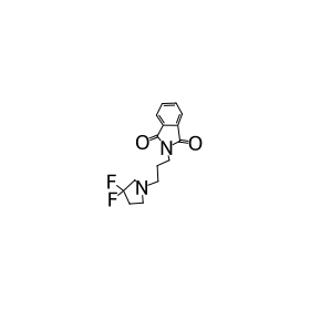 O=C1c2ccccc2C(=O)N1CCCN1CCC(F)(F)C1